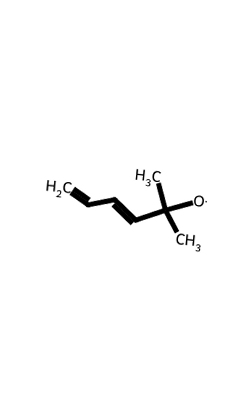 C=C/C=C/C(C)(C)[O]